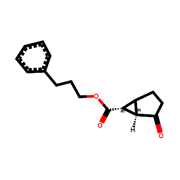 O=C1CCC2[C@@H]1[C@@H]2C(=O)OCCCc1ccccc1